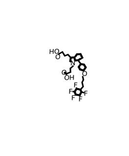 O=C(O)CCCc1cn(CCCC(=O)O)c2c(-c3ccc(OCCCCc4c(F)c(F)c(F)c(F)c4F)cc3)cccc12